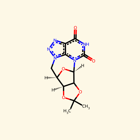 CC1(C)OC2[C@@H](O1)[C@H]1Cn3nnc4c(=O)[nH]c(=O)n(c43)[C@@H]2O1